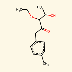 CCOC(C(=O)Cc1ccc(C)cc1)C(C)O